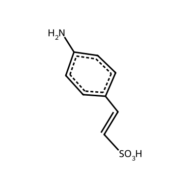 Nc1ccc(C=CS(=O)(=O)O)cc1